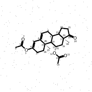 CC(=O)OC1=CC2=CCC3C([C@@H](OC(C)=O)C[C@]4(C)C(=O)CCC34)[C@@]2(C)CC1